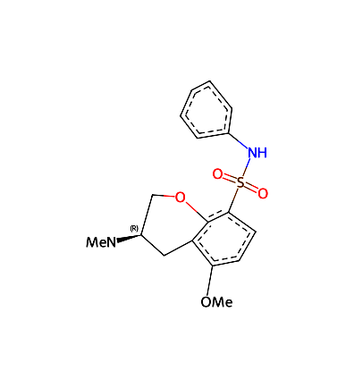 CN[C@H]1COc2c(S(=O)(=O)Nc3ccccc3)ccc(OC)c2C1